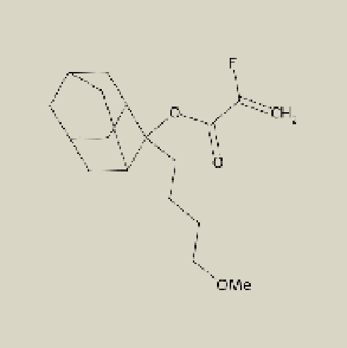 C=C(F)C(=O)OC1(CCCCOC)C2CC3CC(C2)CC1C3